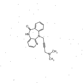 CN(C)CC#CCN1c2ccccc2C(=O)Nc2cccnc21